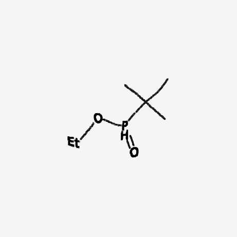 CCO[PH](=O)C(C)(C)C